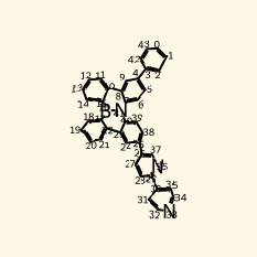 c1ccc(-c2ccc3c(c2)-c2ccccc2B2c4ccccc4-c4cc(-c5ccc(-c6ccncc6)nc5)ccc4N23)cc1